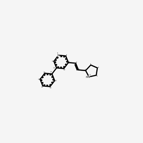 C(=CC1CCCN1)c1cncc(-c2ccccc2)c1